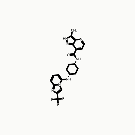 Cc1[nH]nc2c(C(=O)N[C@H]3CC[C@@H](Nc4cccc5nc(C(F)(F)F)cn45)CC3)ccnc12